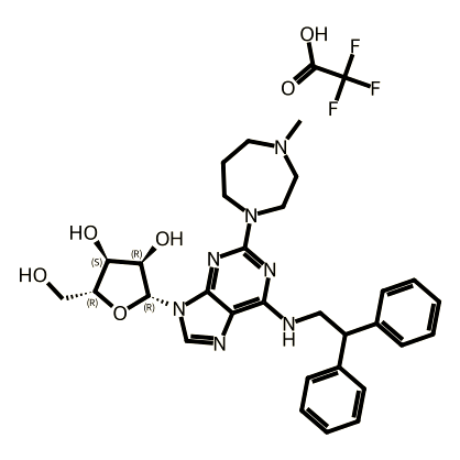 CN1CCCN(c2nc(NCC(c3ccccc3)c3ccccc3)c3ncn([C@@H]4O[C@H](CO)[C@@H](O)[C@H]4O)c3n2)CC1.O=C(O)C(F)(F)F